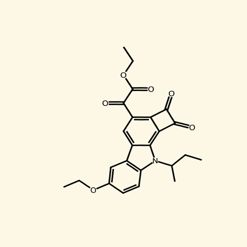 CCOC(=O)C(=O)c1cc2c3cc(OCC)ccc3n(C(C)CC)c2c2c(=O)c(=O)c12